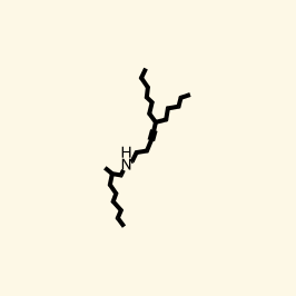 CCCCCCC(C)CNCCCC#CC(CCCCC)CCCCCC